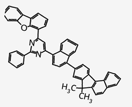 CC1(C)c2cc(-c3ccc(-c4cc(-c5cccc6c5oc5ccccc56)nc(-c5ccccc5)n4)c4ccccc34)ccc2-c2c1ccc1ccccc21